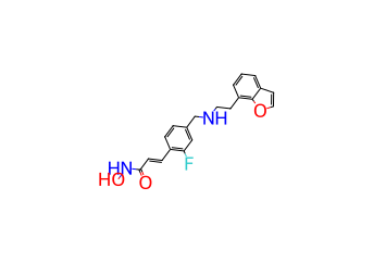 O=C(/C=C/c1ccc(CNCCc2cccc3ccoc23)cc1F)NO